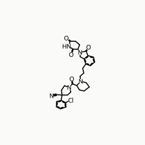 N#CC1(c2ccccc2Cl)CCN(C(=O)C2CCCCN2CCCc2cccc3c2CN(C2CCC(=O)NC2=O)C3=O)CC1